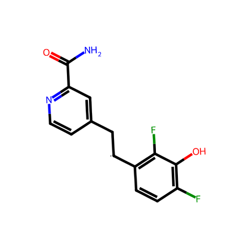 NC(=O)c1cc(C[CH]c2ccc(F)c(O)c2F)ccn1